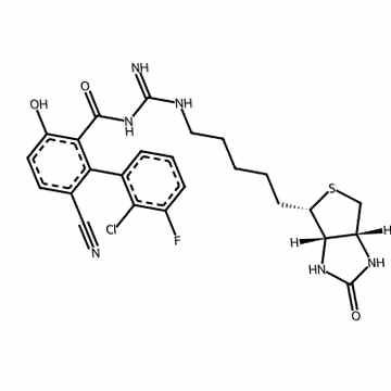 N#Cc1ccc(O)c(C(=O)NC(=N)NCCCCC[C@@H]2SC[C@@H]3NC(=O)N[C@@H]32)c1-c1cccc(F)c1Cl